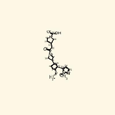 COc1ccc(C2CN(C(=O)CC3CCN(C(=O)O)C3)C2)cc1-c1ccnn1C